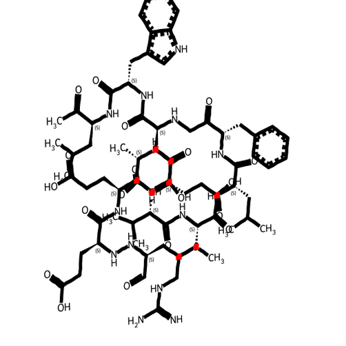 CSCC[C@@H](C=O)NN[C@@H](CCC(=O)O)C(=O)N[C@@H](CCC(=O)O)C(=O)N[C@@H](CCC(=O)O)C(=O)N[C@@H](C)C(=O)N[C@H](C(=O)N[C@@H](CCCNC(=N)N)C(=O)N[C@@H](CC(C)C)C(=O)N[C@@H](Cc1ccccc1)C(=O)CN[C@@H](CCC(=O)O)C(=O)N[C@@H](Cc1c[nH]c2ccccc12)C(=O)N[C@@H](CC(C)C)C(C)=O)C(C)C